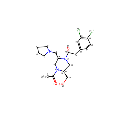 COC(=O)N1C[C@@H](CN2CCCC2)N(C(=O)Cc2ccc(Cl)c(Cl)c2)C[C@H]1CO